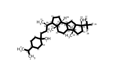 CC(C)C1CCC(O)(CC[C@@H](C)C2CC[C@H]3[C@@H]4CC5[C@](C)(CC[C@@]5(O)C(F)(F)F)C4CC[C@]23C)CC1